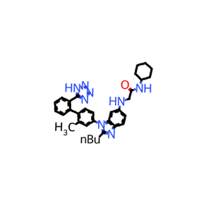 CCCCc1nc2ccc(NCC(=O)NC3CCCCC3)cc2n1-c1ccc(-c2ccccc2-c2nnn[nH]2)c(C)c1